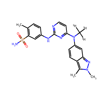 [2H]C([2H])([2H])N(c1ccc2c(C)n(C)nc2c1)c1ccnc(Nc2ccc(C)c(S(N)(=O)=O)c2)n1